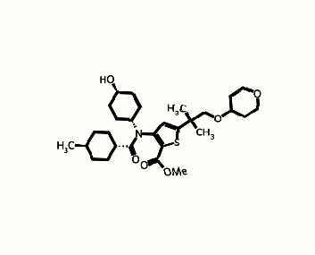 COC(=O)c1sc(C(C)(C)COC2CCOCC2)cc1N(C(=O)[C@H]1CC[C@H](C)CC1)[C@H]1CC[C@H](O)CC1